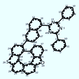 c1ccc(-c2nc(-c3ccccc3)nc(-c3cccc4cc(-c5ccc6sc7ccc8ccc9oc%10cccc%11c%10c9c8c7c6c5-%11)ccc34)n2)cc1